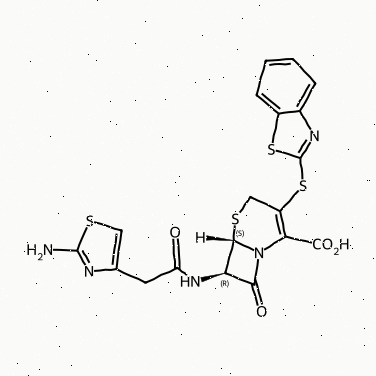 Nc1nc(CC(=O)N[C@@H]2C(=O)N3C(C(=O)O)=C(Sc4nc5ccccc5s4)CS[C@@H]23)cs1